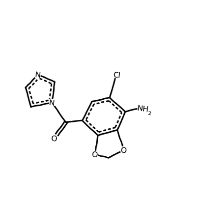 Nc1c(Cl)cc(C(=O)n2ccnc2)c2c1OCO2